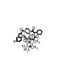 CC(C(=O)NC(C(=O)N1CCN(C(=O)c2cc3cc(F)ccc3n2CC(=O)O)CC1)C1CCCCC1)N(C)C(=O)OC(C)(C)C